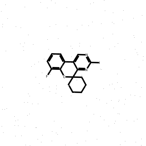 Fc1cccc2c1OC1(CCCCC1)c1nc(I)ncc1-2